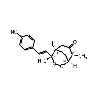 C[C@@H]1C(=O)C[C@H]2CC[C@@H]1OO[C@]2(C)C=Cc1ccc(C#N)cc1